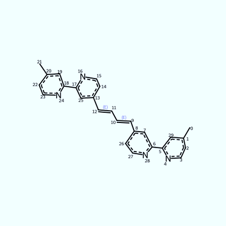 Cc1ccnc(-c2cc(/C=C/C=C/c3ccnc(-c4cc(C)ccn4)c3)ccn2)c1